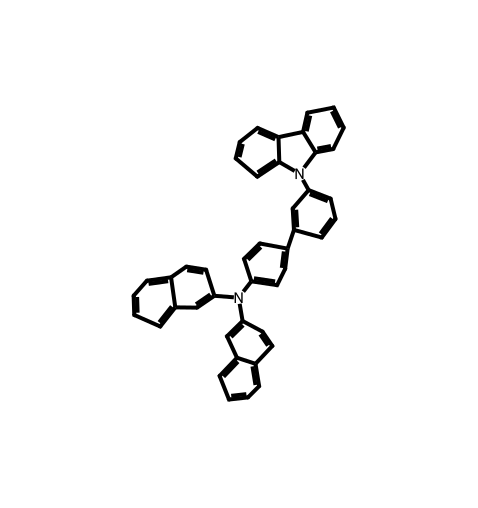 c1cc(-c2ccc(N(c3ccc4ccccc4c3)c3ccc4ccccc4c3)cc2)cc(-n2c3ccccc3c3ccccc32)c1